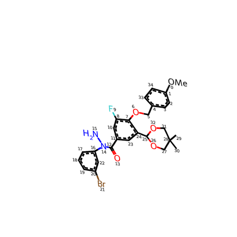 COc1ccc(COc2c(F)cc(C(=O)N(N)c3cccc(Br)c3)cc2C2OCC(C)(C)CO2)cc1